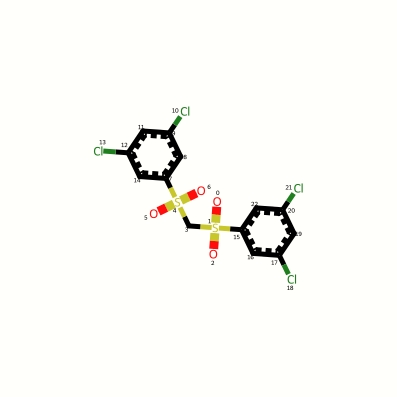 O=S(=O)(CS(=O)(=O)c1cc(Cl)cc(Cl)c1)c1cc(Cl)cc(Cl)c1